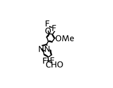 COc1cc(-c2cnc3cc(C(F)(F)C=O)ccn23)cc(OC(F)F)c1C